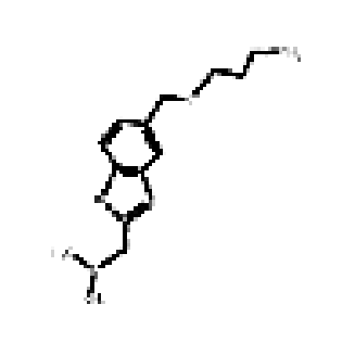 CN(C)Cc1nc2cc(CSCCCN)ccc2[nH]1